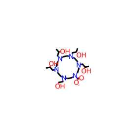 COC(=O)N1CCN(CCO)CCN(CC(C)O)CCN(CC(C)O)CCN(CC(C)O)CCN(CC(C)O)CC1